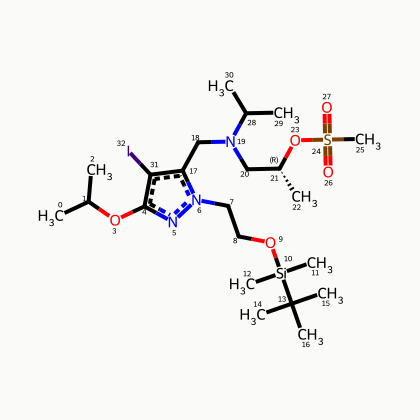 CC(C)Oc1nn(CCO[Si](C)(C)C(C)(C)C)c(CN(C[C@@H](C)OS(C)(=O)=O)C(C)C)c1I